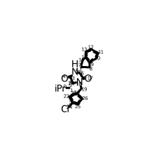 CC(C)C[C@@H]1C(=O)N[C@H](C2Cc3ccccc3C2)C(=O)N1Cc1ccc(Cl)cc1